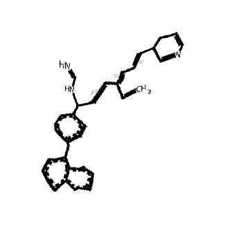 C=CC(/C=C/C(NC=N)c1ccc(-c2cccc3ccccc23)cc1)=C\C=C\C1C=NC=CC1